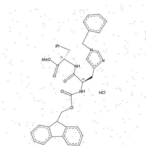 COC(=O)[C@H](CC(C)C)NC(=O)[C@@H](Cc1cn(Cc2ccccc2)cn1)NC(=O)OCC1c2ccccc2-c2ccccc21.Cl